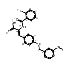 COc1cccc(COc2ccc(/C=C(\NC(=O)c3ccccc3F)C(=O)O)cc2)c1